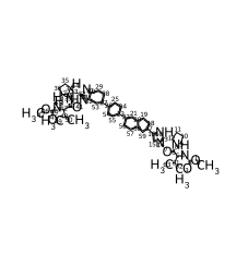 COC(=O)N[C@H](C(=O)N1CCC[C@H]1c1ncc(-c2ccc3cc(-c4ccc(-c5ccc6nc([C@@H]7[C@H]8CC[C@H](C8)N7C(=O)[C@@H](NC(=O)OC)C(C)C)[nH]c6c5)cc4)ccc3c2)[nH]1)C(C)C